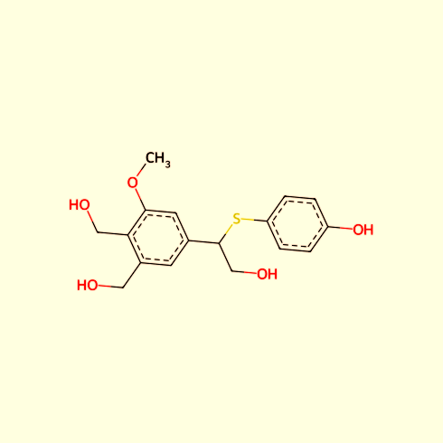 COc1cc(C(CO)Sc2ccc(O)cc2)cc(CO)c1CO